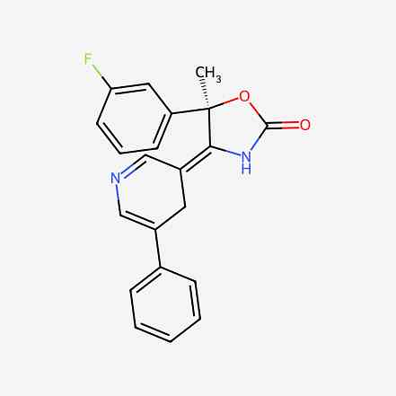 C[C@]1(c2cccc(F)c2)OC(=O)N/C1=C1/C=NC=C(c2ccccc2)C1